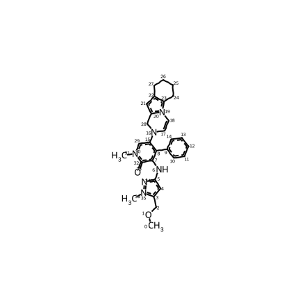 COCc1cc(Nc2c(-c3ccccc3)c(N3C=Cn4c(cc5c4CCCC5)C3)cn(C)c2=O)nn1C